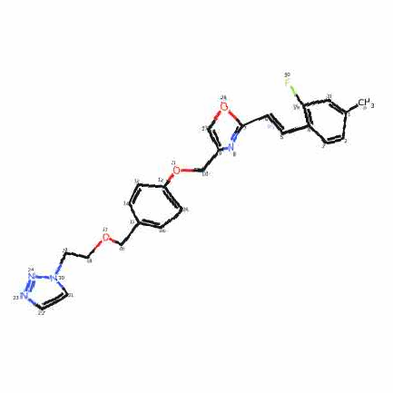 Cc1ccc(/C=C/c2nc(COc3ccc(COCCn4ccnn4)cc3)co2)c(F)c1